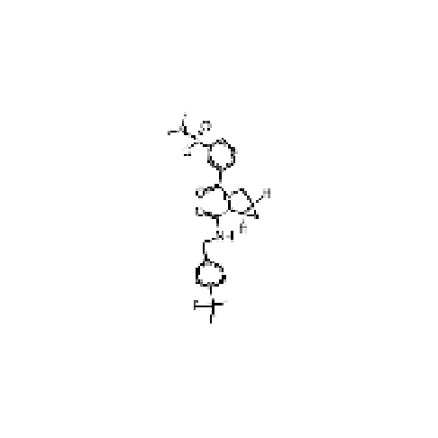 CN(C)S(=O)(=O)c1cccc(C(=O)N2C[C@H]3C[C@H]3[C@@H]2C(=O)NCc2ccc(C(F)(F)F)cc2)c1